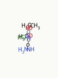 CC(C)OC(=O)[C@H]1CC[C@H](N(C)C(=O)N2CCC(c3ccc(C(=N)N)cc3)CC2)CC1.Cl